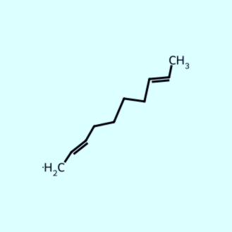 [CH2]C=CCCCCC=CC